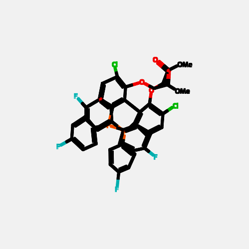 COC(=O)COc1c(Cl)ccc(P(c2ccc(F)cc2)c2ccc(F)cc2)c1-c1c(P(c2ccc(F)cc2)c2ccc(F)cc2)ccc(Cl)c1OCC(=O)OC